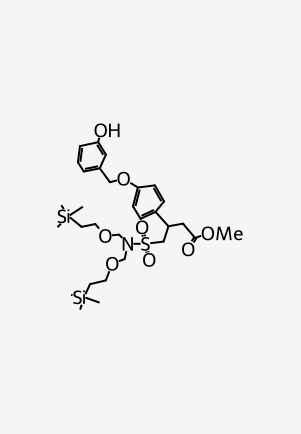 COC(=O)CC(CS(=O)(=O)N(COCC[Si](C)(C)C)COCC[Si](C)(C)C)c1ccc(OCc2cccc(O)c2)cc1